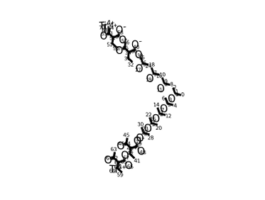 CC(C)[O-].CC(C)[O-].CC(C)[O-].CC(C)[O-].CC(C)[O-].CC(C)[O-].CC(C)[O-].CC(C)[O-].CCC(C(C)=O)C(=O)[O-].CCC(C(C)=O)C(=O)[O-].CCC(C(C)=O)C(=O)[O-].CCC(C(C)=O)C(=O)[O-].[Ti+4].[Ti+4].[Ti+4]